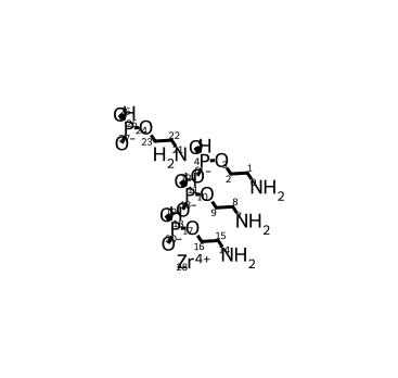 NCCO[PH](=O)[O-].NCCO[PH](=O)[O-].NCCO[PH](=O)[O-].NCCO[PH](=O)[O-].[Zr+4]